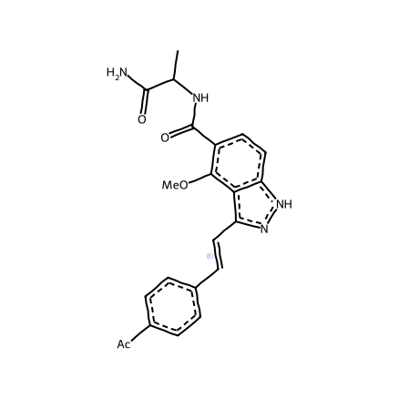 COc1c(C(=O)NC(C)C(N)=O)ccc2[nH]nc(/C=C/c3ccc(C(C)=O)cc3)c12